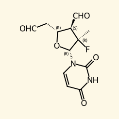 C[C@@]1(F)[C@H](C=O)[C@@H](CC=O)O[C@H]1n1ccc(=O)[nH]c1=O